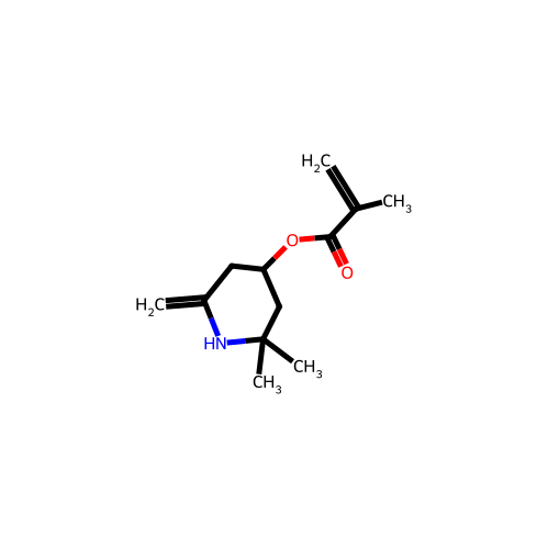 C=C1CC(OC(=O)C(=C)C)CC(C)(C)N1